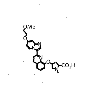 COCCOc1ccn2c(-c3ccc4cccc(OC5CC(C(=O)O)N(C)C5)c4n3)cnc2c1